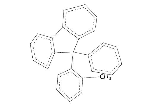 Cc1ccccc1C1(c2ccccc2)c2ccccc2-c2ccccc21